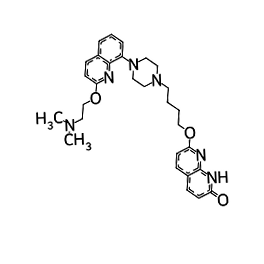 CN(C)CCOc1ccc2cccc(N3CCN(CCCCOc4ccc5ccc(=O)[nH]c5n4)CC3)c2n1